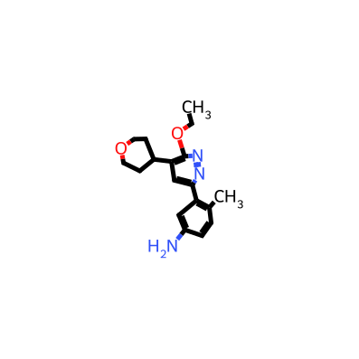 CCOc1nnc(-c2cc(N)ccc2C)cc1C1CCOCC1